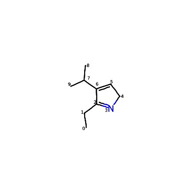 CCC1=NCC=C1C(C)C